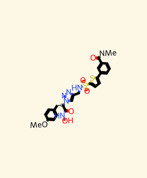 CNC(=O)c1cccc(-c2ccc(S(=O)(=O)NCc3cn([C@@H](Cc4ccc(OC)cc4)C(=O)NO)nn3)s2)c1